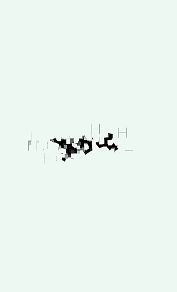 CCCC(CCC)CNc1ccn([C@@H]2O[C@H](CO)[C@@H](OC(=O)C(C)C)C2(F)F)c(=O)n1